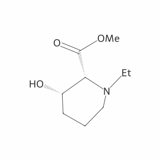 CCN1CCC[C@H](O)[C@@H]1C(=O)OC